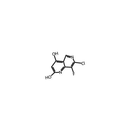 Oc1cc(O)c2cnc(Cl)c(F)c2n1